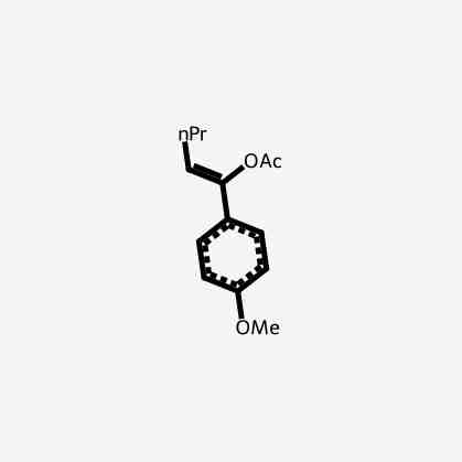 CCCC=C(OC(C)=O)c1ccc(OC)cc1